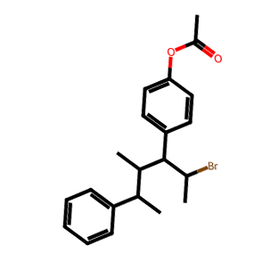 CC(=O)Oc1ccc(C(C(C)Br)C(C)C(C)c2ccccc2)cc1